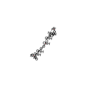 CN1C(=O)C[C@H](C(=O)NCCC(=O)NCCOCCOCCC(=O)N[C@H]2CC[C@@H](C(=O)NCCN3CC[C@H](Nc4ncnc5ccc(C(F)(F)F)cc45)C3=O)CC2)[C@H]1c1cccnc1